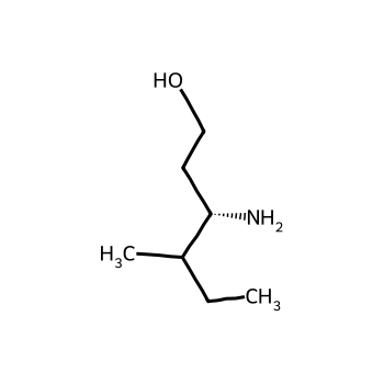 CCC(C)[C@@H](N)CCO